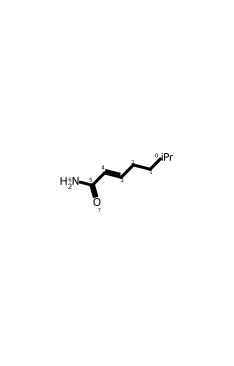 CC(C)CC/C=C/C(N)=O